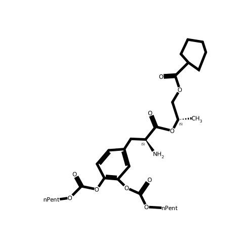 CCCCCOC(=O)Oc1ccc(C[C@H](N)C(=O)O[C@@H](C)COC(=O)C2CCCCC2)cc1OC(=O)OCCCCC